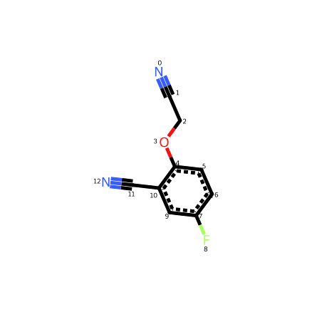 N#CCOc1c[c]c(F)cc1C#N